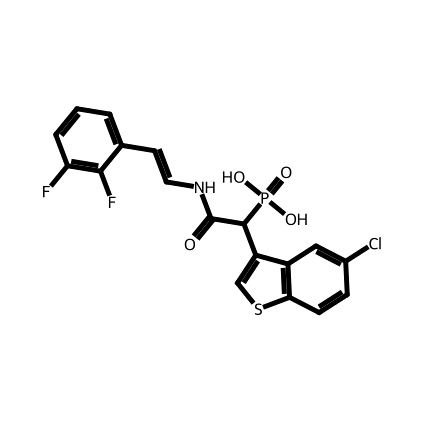 O=C(N/C=C/c1cccc(F)c1F)C(c1csc2ccc(Cl)cc12)P(=O)(O)O